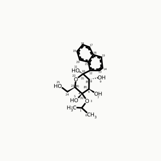 CC(C)O[C@@]1(O)[C@H](O)[C@@H](O)[C@](O)(c2cccc3ccccc23)O[C@@H]1CO